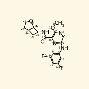 COc1ncc(Nc2cc(F)cc(F)c2)nc1C(=O)NC1CC2CCOC21